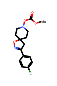 CC(C)(C)OC(=O)ON1CCC2(CC1)CC(c1ccc(Cl)cc1)=NO2